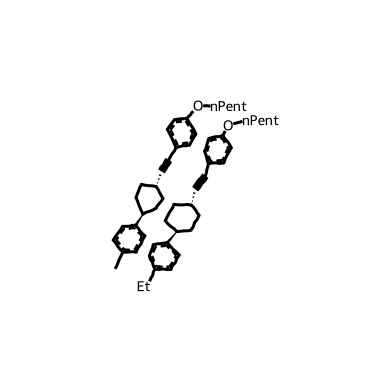 CCCCCOc1ccc(C#C[C@H]2CC[C@H](c3ccc(C)cc3)CC2)cc1.CCCCCOc1ccc(C#C[C@H]2CC[C@H](c3ccc(CC)cc3)CC2)cc1